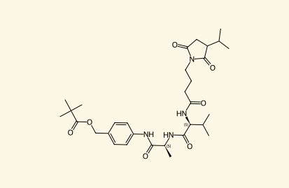 CC(C)C1CC(=O)N(CCCC(=O)N[C@H](C(=O)N[C@@H](C)C(=O)Nc2ccc(COC(=O)C(C)(C)C)cc2)C(C)C)C1=O